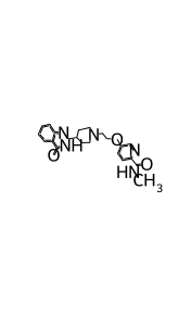 CNC(=O)c1ccc(OCCN2CCC(c3nc4ccccc4c(=O)[nH]3)CC2)cn1